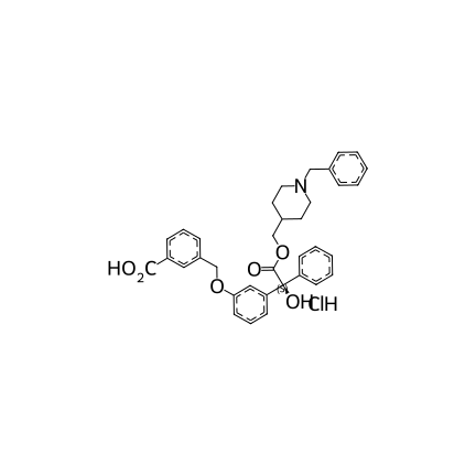 Cl.O=C(O)c1cccc(COc2cccc([C@](O)(C(=O)OCC3CCN(Cc4ccccc4)CC3)c3ccccc3)c2)c1